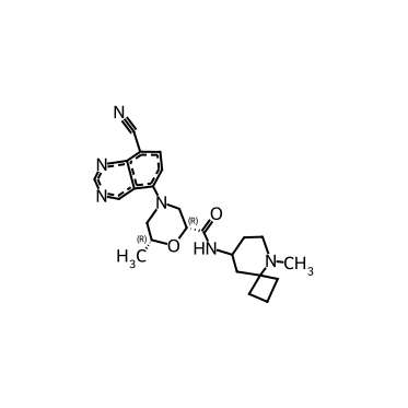 C[C@@H]1CN(c2ccc(C#N)c3ncncc23)C[C@H](C(=O)NC2CCN(C)C3(CCC3)C2)O1